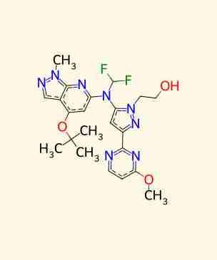 COc1ccnc(-c2cc(N(c3cc(OC(C)(C)C)c4cnn(C)c4n3)C(F)F)n(CCO)n2)n1